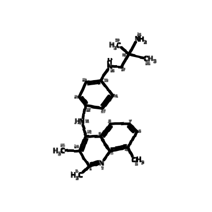 Cc1nc2c(C)cccc2c(Nc2ccc(NCC(C)(C)N)cc2)c1C